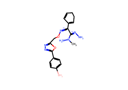 Bc1ccc(-c2nnc(CO/N=C(C3=CCCC=C3)\C(=N\N)N(C)N)o2)cc1